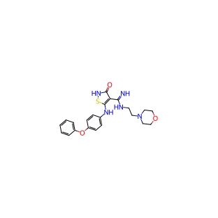 N=C(NCCN1CCOCC1)c1c(Nc2ccc(Oc3ccccc3)cc2)s[nH]c1=O